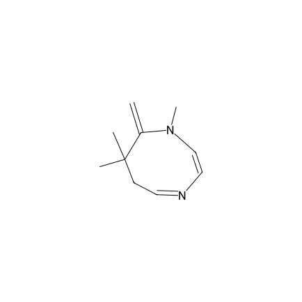 C=C1N(C)/C=C\N=C/CC1(C)C